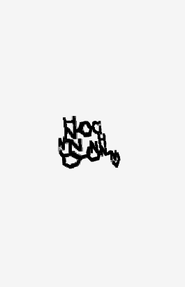 Clc1ccc(Nc2ncc3cccc(-c4ccc(NCCN5CCCC5)nc4)c3n2)cc1